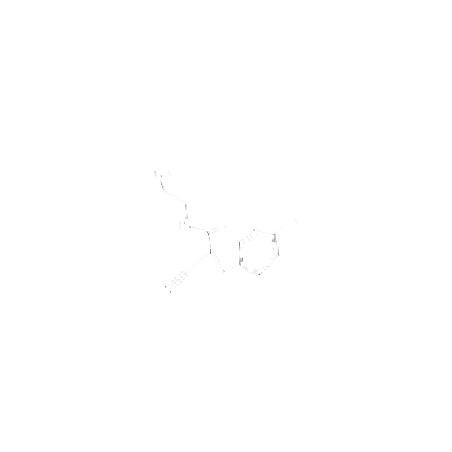 N#CC(=Cc1ccc(O)cc1)C(=O)NCCN